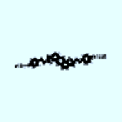 CCCCCCCc1ccc(CCc2cc3ccc4cc5c(ccc6cc(CCc7ccc(CCCCCCC)cc7)sc65)cc4c3s2)cc1